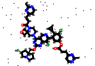 Cc1nccc(/C=C/C(=O)Oc2cc(Cl)c(C3CC3)c(-c3ncc4c(N5CCN(C(=O)/C=C/c6ccnc(C)n6)C6(COC6)C5)nc(OC[C@@]56CCCN5C[C@H](F)C6)nc4c3F)c2)n1